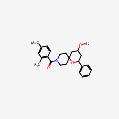 CCOC1CC(c2ccccc2)OC2(CCN(C(=O)c3ccc(OC)cc3C(F)(F)F)CC2)C1